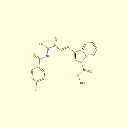 CC(C)N(NC(=O)c1ccc(Cl)cc1)C(=O)/C=C/c1cn(C(=O)OC(C)(C)C)c2ccccc12